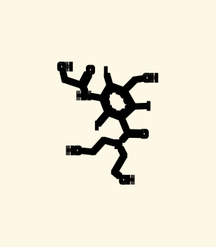 O=C(CO)Nc1c(I)c(CO)c(I)c(C(=O)N(CCO)CCO)c1I